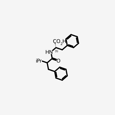 CC(C)C(Cc1ccccc1)C(=O)N[C@@H](Cc1ccccc1)C(=O)O